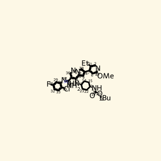 CCc1cnc(OC)cc1-c1cc2c(N[C@H]3CC[C@H](NC(=O)OC(C)(C)C)CC3)c(/C(N)=N/c3cc(F)ccc3Cl)cnn2c1